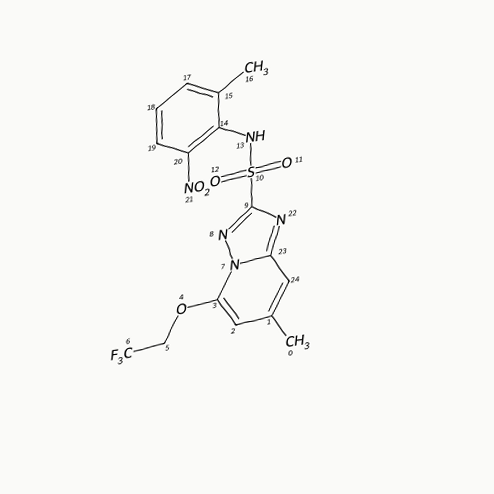 Cc1cc(OCC(F)(F)F)n2nc(S(=O)(=O)Nc3c(C)cccc3[N+](=O)[O-])nc2c1